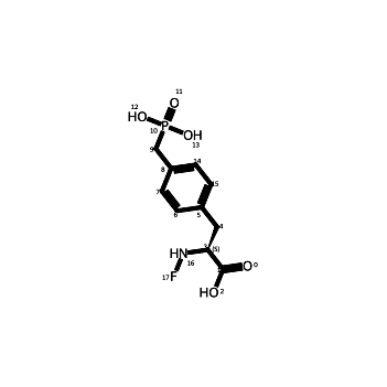 O=C(O)[C@H](Cc1ccc(CP(=O)(O)O)cc1)NF